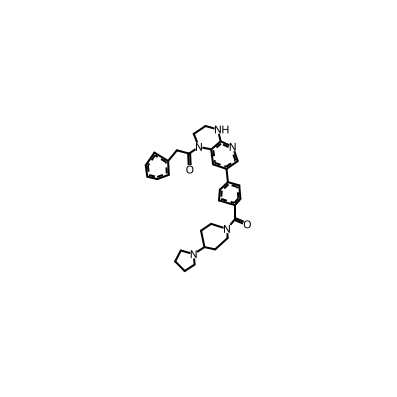 O=C(c1ccc(-c2cnc3c(c2)N(C(=O)Cc2ccccc2)CCN3)cc1)N1CCC(N2CCCC2)CC1